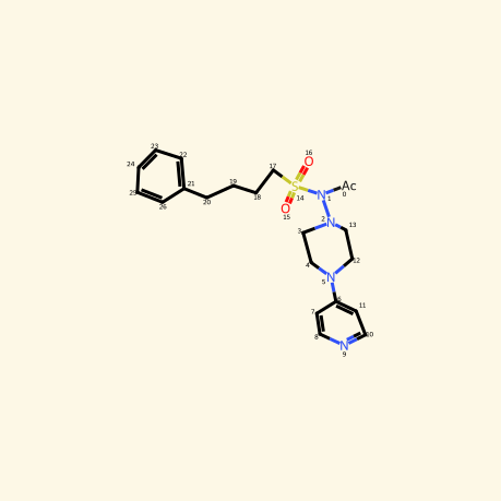 CC(=O)N(N1CCN(c2ccncc2)CC1)S(=O)(=O)CCCCc1ccccc1